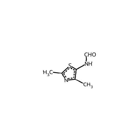 Cc1nc(C)c(NC=O)s1